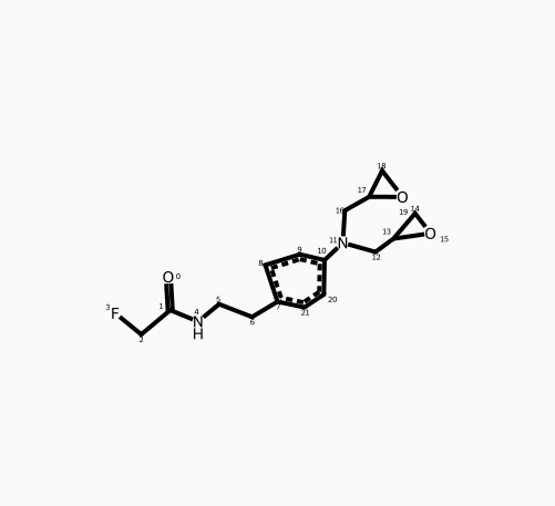 O=C(CF)NCCc1ccc(N(CC2CO2)CC2CO2)cc1